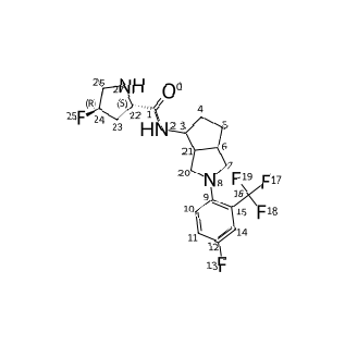 O=C(NC1CCC2CN(c3ccc(F)cc3C(F)(F)F)CC21)[C@@H]1C[C@@H](F)CN1